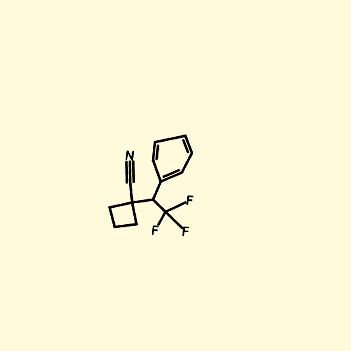 N#CC1(C(c2ccccc2)C(F)(F)F)CCC1